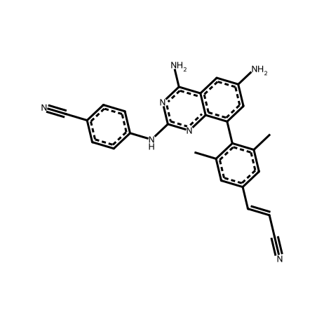 Cc1cc(/C=C/C#N)cc(C)c1-c1cc(N)cc2c(N)nc(Nc3ccc(C#N)cc3)nc12